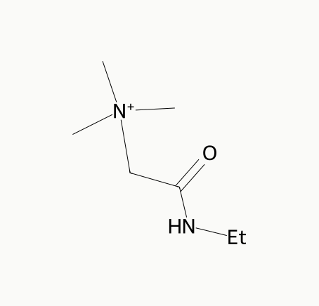 [CH2]CNC(=O)C[N+](C)(C)C